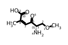 COC[C@H](N)C(=O)C=C(C)C(=O)O